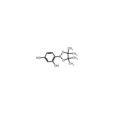 CC1(C)OB(c2ccc(O)cc2O)OC1(C)C